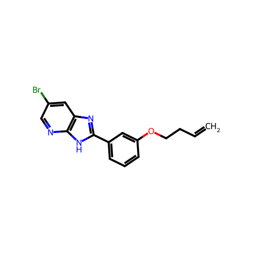 C=CCCOc1cccc(-c2nc3cc(Br)cnc3[nH]2)c1